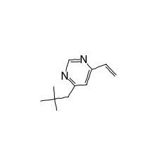 C=Cc1cc(CC(C)(C)C)ncn1